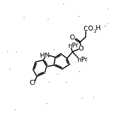 CCCC(CCC)(OC(=O)CC(=O)O)c1ccc2c(c1)[nH]c1ccc(Cl)cc12